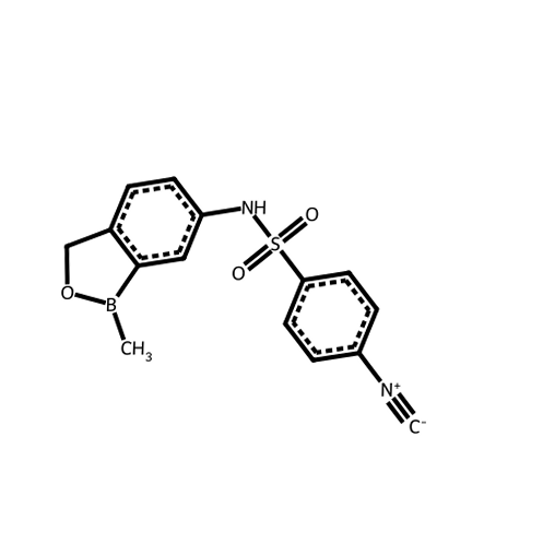 [C-]#[N+]c1ccc(S(=O)(=O)Nc2ccc3c(c2)B(C)OC3)cc1